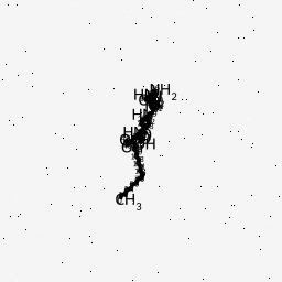 CCCCCCCC/C=C\CCCCCCCCC(CC(NC(=O)c1ccc(NCc2cnc3nc(N)[nH]c(=O)c3n2)cc1)C(=O)O)C(=O)O